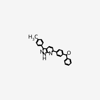 Cc1ccc(-c2n[nH]c3nc(-c4ccc(C(=O)c5ccccc5)cc4)ccc23)cc1